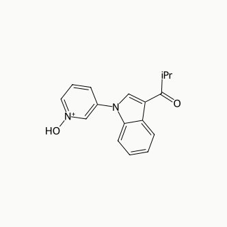 CC(C)C(=O)c1cn(-c2ccc[n+](O)c2)c2ccccc12